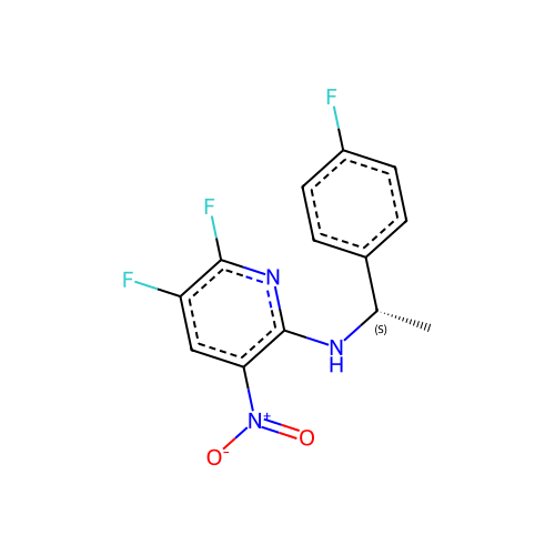 C[C@H](Nc1nc(F)c(F)cc1[N+](=O)[O-])c1ccc(F)cc1